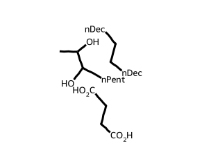 CCCCCC(O)C(C)O.CCCCCCCCCCCCCCCCCCCCCC.O=C(O)CCC(=O)O